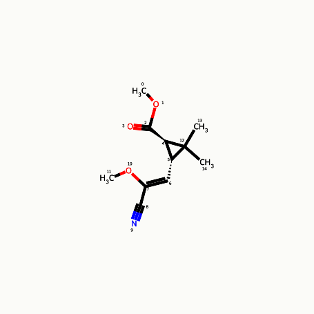 COC(=O)[C@@H]1[C@@H](/C=C(/C#N)OC)C1(C)C